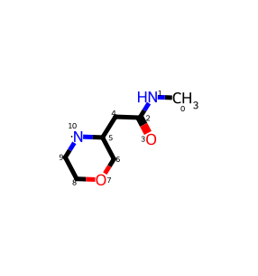 CNC(=O)CC1COCC[N]1